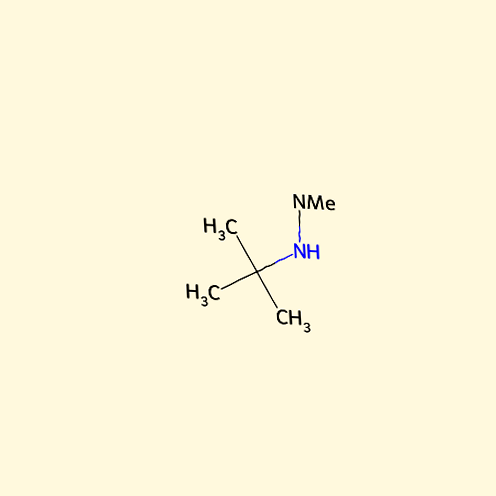 CNNC(C)(C)C